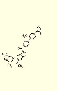 COc1cc2c(cc1N1C[C@@H](C)N[C@@H](C)C1)N(C(=O)c1ccc(-c3ccc(N4CCCC4=O)cc3C)cc1)CC2